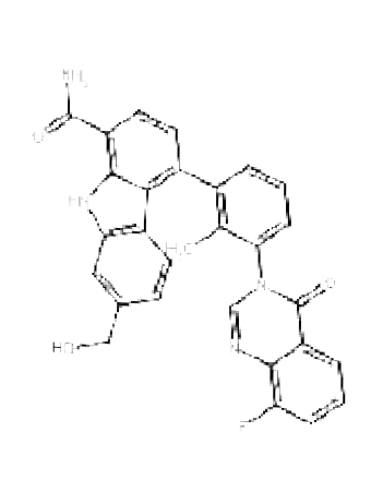 Cc1c(-c2ccc(C(N)=O)c3[nH]c4cc(CO)ccc4c23)cccc1-n1cnc2c(F)cccc2c1=O